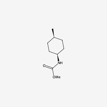 COC(=O)N[C@H]1CC[C@@H](C)CC1